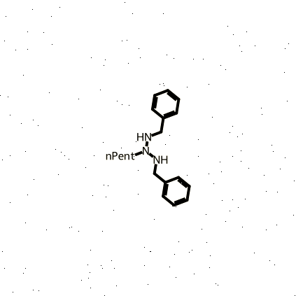 CCCCCN(NCc1ccccc1)NCc1ccccc1